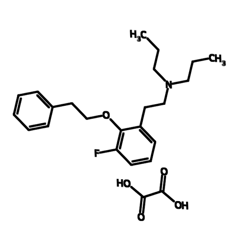 CCCN(CCC)CCc1cccc(F)c1OCCc1ccccc1.O=C(O)C(=O)O